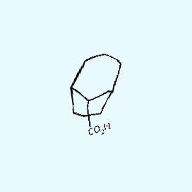 O=C(O)C1C2CCCC1CC2